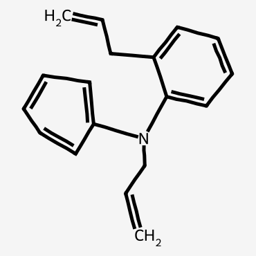 C=CCc1ccccc1N(CC=C)c1ccccc1